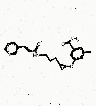 Cc1cc(OC2CC2CCCNC(=O)/C=C/c2cccnc2)cc(C(N)=O)c1